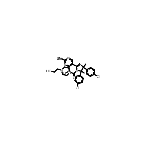 CCOc1nc(C(C)(C)C)ncc1C1=NC(C)(c2ccc(Cl)cc2)C(C)(c2ccc(Cl)cc2)N1C(=O)N1CCN(CCO)CC1